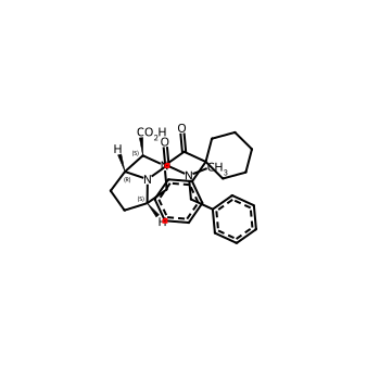 CN(Cc1ccccc1)C(=O)N1[C@H]2CC[C@@H]1[C@@H](C(=O)O)N(C(=O)C1(c3ccccc3)CCCCC1)C2